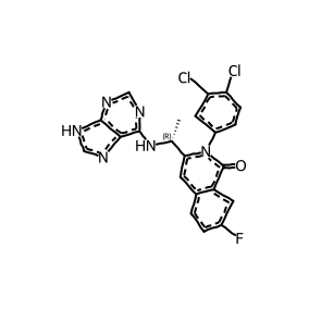 C[C@@H](Nc1ncnc2[nH]cnc12)c1cc2ccc(F)cc2c(=O)n1-c1ccc(Cl)c(Cl)c1